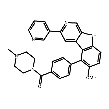 COc1ccc2[nH]c3cnc(-c4cccnc4)cc3c2c1-c1ccc(C(=O)N2CCN(C)CC2)cc1